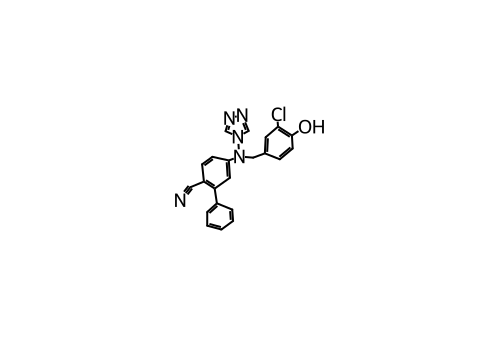 N#Cc1ccc(N(Cc2ccc(O)c(Cl)c2)n2cnnc2)cc1-c1ccccc1